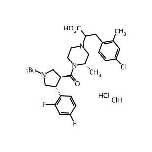 Cc1cc(Cl)ccc1CC(C(=O)O)N1CCN(C(=O)[C@@H]2CN(C(C)(C)C)C[C@H]2c2ccc(F)cc2F)[C@@H](C)C1.Cl.Cl